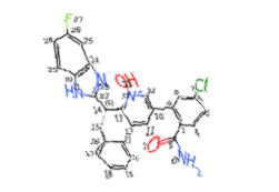 NC(=O)c1ccc(Cl)cc1-c1ccc([C@H](Cc2ccccc2)c2nc3cc(F)ccc3[nH]2)[n+](O)c1